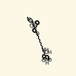 CN1CCC(OC(=O)N(Cc2ccccc2)c2cccc(OCCCCCCCCCNC[C@H](O)c3ccc(O)c4[nH]c(=O)ccc34)c2)CC1